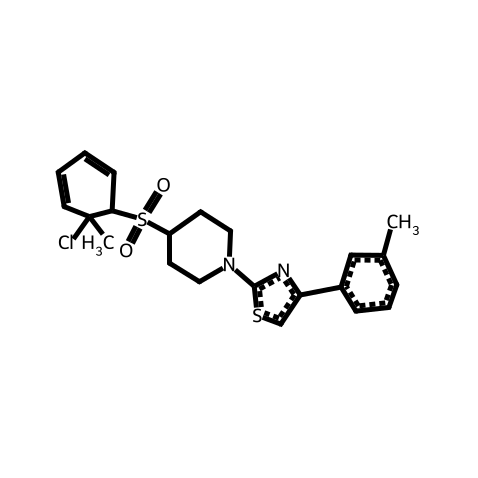 Cc1cccc(-c2csc(N3CCC(S(=O)(=O)C4C=CC=CC4(C)Cl)CC3)n2)c1